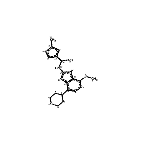 COc1ncc(N2CCOCC2)c2sc(NC(O)c3cnn(C)c3)nc12